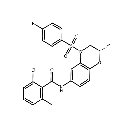 Cc1cccc(Cl)c1C(=O)Nc1ccc2c(c1)N(S(=O)(=O)c1ccc(F)cc1)C[C@H](C)O2